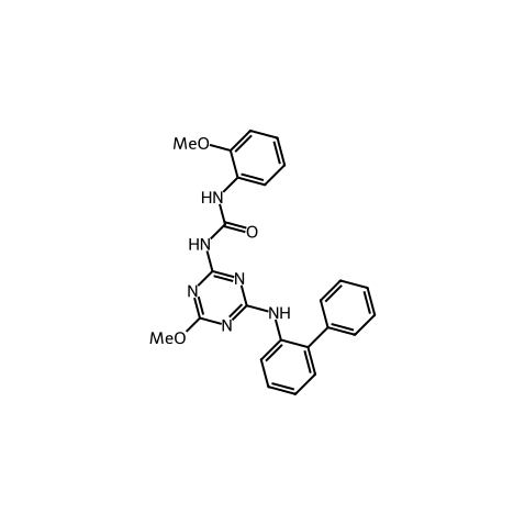 COc1nc(NC(=O)Nc2ccccc2OC)nc(Nc2ccccc2-c2ccccc2)n1